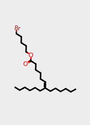 CCCCCCC(=CCCCCC(=O)OCCCCCBr)CCCCCC